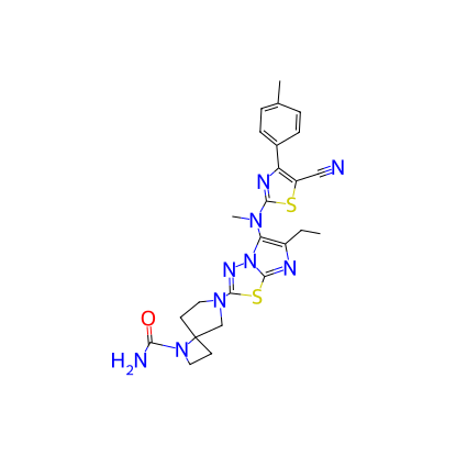 CCc1nc2sc(N3CCC4(CCN4C(N)=O)C3)nn2c1N(C)c1nc(-c2ccc(C)cc2)c(C#N)s1